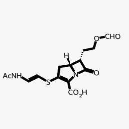 CC(=O)N/C=C/SC1=C(C(=O)O)N2C(=O)[C@@H](CCOC=O)[C@H]2C1